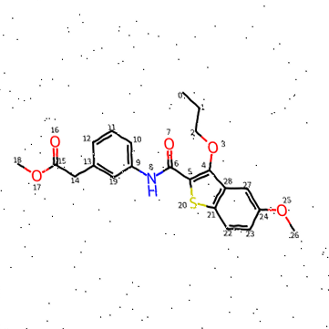 CCCOc1c(C(=O)Nc2cccc(CC(=O)OC)c2)sc2ccc(OC)cc12